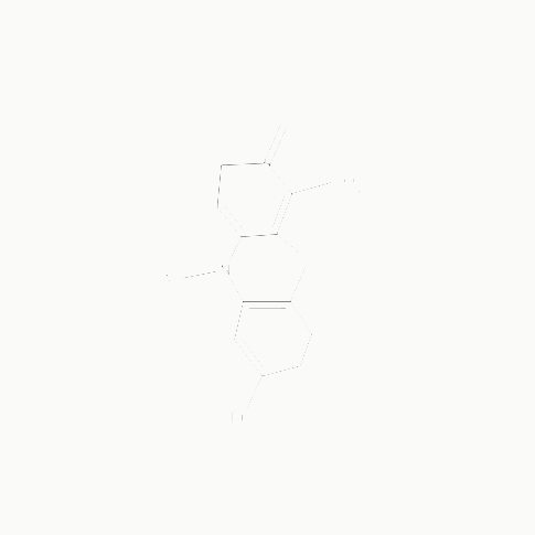 CCC1=CC2=C(CC1)OC1=C(C(=O)O)C(=O)CC=C1N2C(C)=O